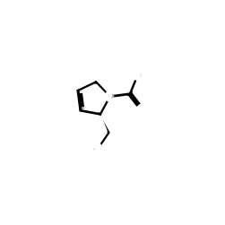 O=C(O)N1CC=C[C@@H]1CO